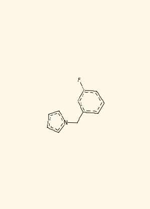 Fc1cccc(Cn2cccc2)c1